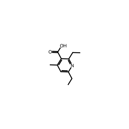 CCc1cc(C)c(C(=O)O)c(CC)n1